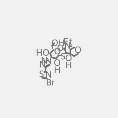 CCN(C)C(=O)C(S[C@@H]1O[C@H](CO)[C@H](O)[C@H](n2cc(-c3nc(Br)cs3)nn2)[C@H]1O)C1(O)CCOCC1